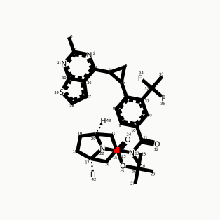 Cc1nc(C2CC2c2ccc(C(=O)N(C)C3C[C@H]4CC[C@@H](C3)N4C(=O)OC(C)(C)C)cc2C(C)(F)F)c2ccsc2n1